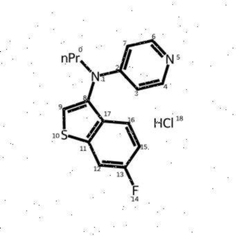 CCCN(c1ccncc1)c1csc2cc(F)ccc12.Cl